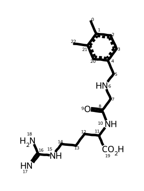 Cc1ccc(CNCC(=O)NC(CCCNC(=N)N)C(=O)O)cc1C